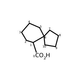 O=C(O)C1CCCCC12CCCC2